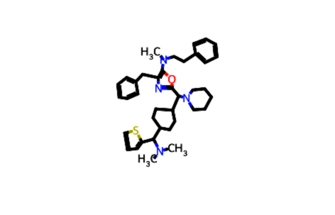 CN(CCc1ccccc1)c1oc(C(C2CCC(C(c3cccs3)N(C)C)CC2)N2CCCCC2)nc1Cc1ccccc1